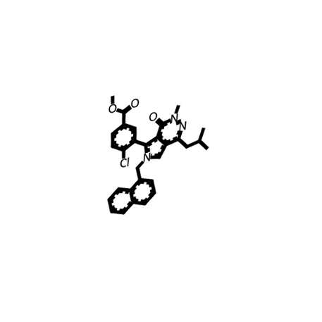 COC(=O)c1ccc(Cl)c(-c2c3c(=O)n(C)nc(CC(C)C)c3cn2Cc2cccc3ccccc23)c1